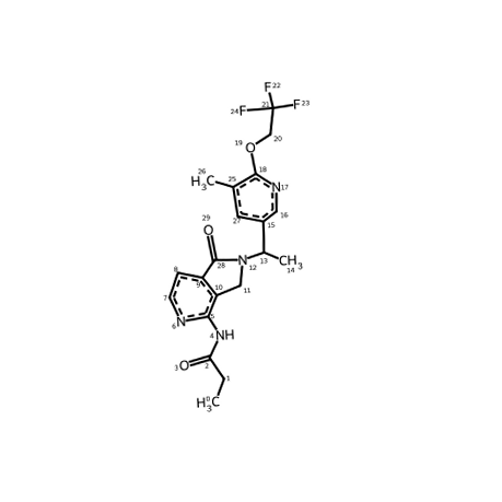 CCC(=O)Nc1nccc2c1CN(C(C)c1cnc(OCC(F)(F)F)c(C)c1)C2=O